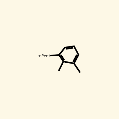 CCCC[CH]c1cccc(C)c1C